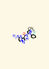 Cc1cc(NC(=O)c2cnn3ccc(N)nc23)n(-c2ccccc2F)n1